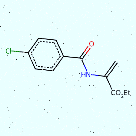 C=C(NC(=O)c1ccc(Cl)cc1)C(=O)OCC